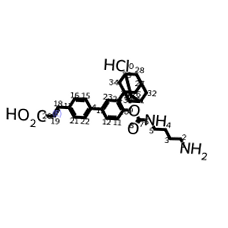 Cl.NCCCCNC(=O)Oc1ccc(-c2ccc(/C=C/C(=O)O)cc2)cc1C12CC3CC(CC(C3)C1)C2